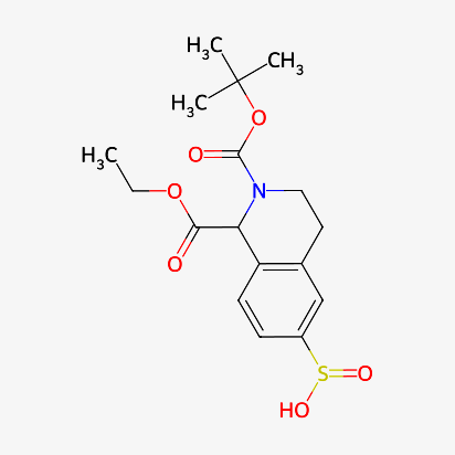 CCOC(=O)C1c2ccc(S(=O)O)cc2CCN1C(=O)OC(C)(C)C